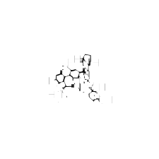 CN1CC[C@H](C(F)F)[C@](C)(COc2nc(N3C[C@H]4CC[C@@H](C3)N4)c3cc(C(F)(F)F)c(-c4c(F)cc(F)c5sc(N)c(C#N)c45)c(F)c3n2)C1